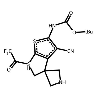 CC(C)(C)OC(=O)Nc1sc2c(c1C#N)C1(CNC1)C[SH]2C(=O)C(F)(F)F